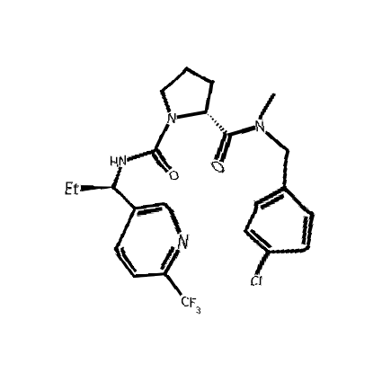 CC[C@@H](NC(=O)N1CCC[C@@H]1C(=O)N(C)Cc1ccc(Cl)cc1)c1ccc(C(F)(F)F)nc1